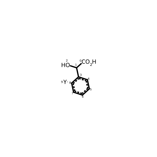 O=C(O)C(O)c1ccccc1.[Y]